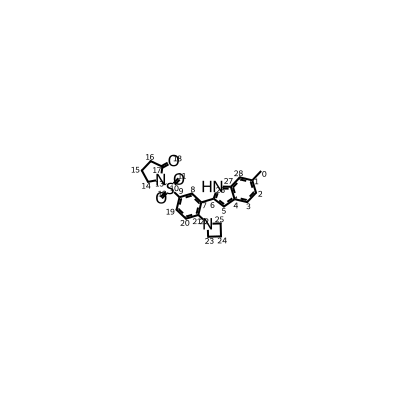 Cc1ccc2cc(-c3cc(S(=O)(=O)N4CCCC4=O)ccc3N3CCC3)[nH]c2c1